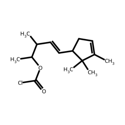 CC1=CCC(C=CC(C)C(C)OC(=O)Cl)C1(C)C